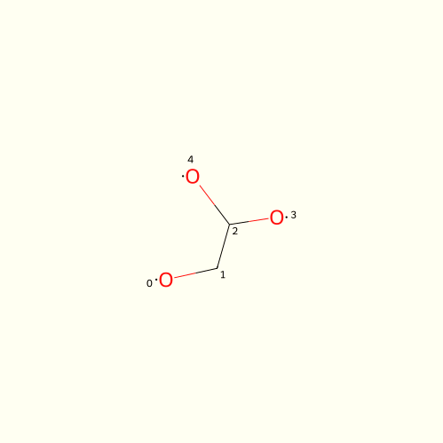 [O]CC([O])[O]